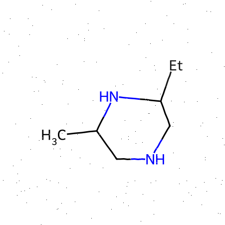 CCC1CNCC(C)N1